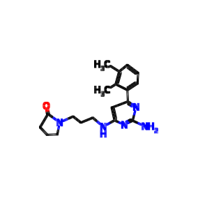 Cc1cccc(-c2cc(NCCCN3CCCC3=O)nc(N)n2)c1C